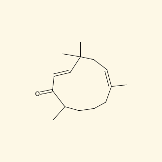 C/C1=C/CC(C)(C)/C=C/C(=O)C(C)CCC1